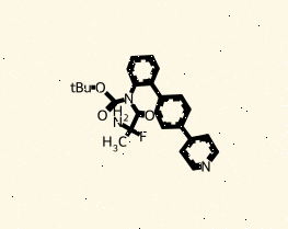 CC(C)(C)OC(=O)N(C(=O)C(C)(N)F)c1ccccc1-c1ccc(-c2ccncc2)cc1